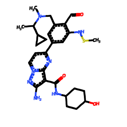 CSNc1cc(-c2ccn3nc(N)c(C(=O)NC4CCC(O)CC4)c3n2)cc(CN(C)C(C)C2CC2)c1C=O